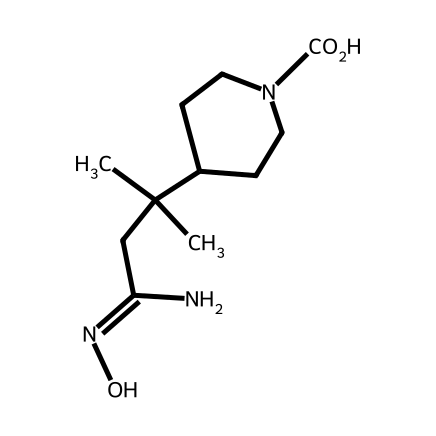 CC(C)(C/C(N)=N/O)C1CCN(C(=O)O)CC1